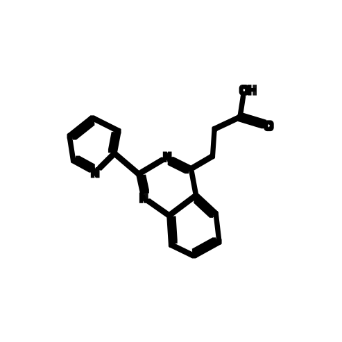 O=C(O)CCc1nc(-c2ccccn2)nc2ccccc12